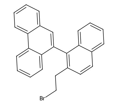 BrCCc1ccc2ccccc2c1-c1cc2ccccc2c2ccccc12